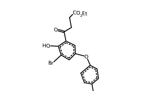 CCOC(=O)CCC(=O)c1cc(Oc2ccc(F)cc2)cc(Br)c1O